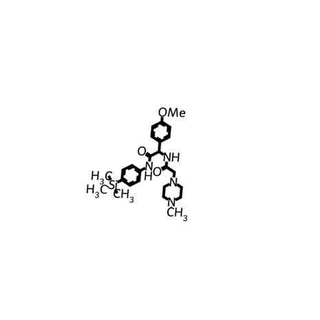 COc1ccc(C(NC(=O)CN2CCN(C)CC2)C(=O)Nc2ccc([Si](C)(C)C)cc2)cc1